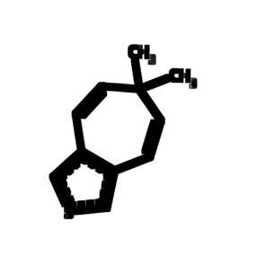 CC1(C)C=Cc2cscc2C=C1